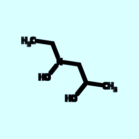 CCN(O)CC(C)O